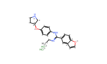 CCN=C(Nc1ccc(O[C@H]2CCNC2)cc1)c1ccc2occc2c1.Cl.Cl